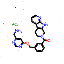 Cl.NCc1cc(OCc2cccc(C(=O)N3CCc4c([nH]c5ncccc45)C3)c2)ncn1